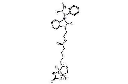 CN1C(=O)/C(=C2/C(=O)N(CCOC(=O)CCCC[C@@H]3SC[C@@H]4NC(=O)N[C@@H]43)c3ccccc32)c2ccccc21